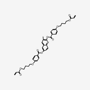 C=CC(=O)OCCCCOc1ccc(C(=O)Oc2ccc3nc(OC(=O)c4ccc(OCCCCOC(=O)C=C)cc4)c(C)cc3c2)cc1